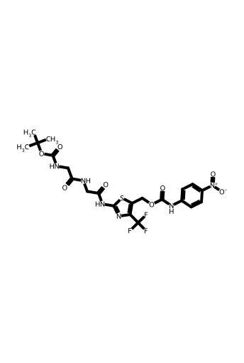 CC(C)(C)OC(=O)NCC(=O)NCC(=O)Nc1nc(C(F)(F)F)c(COC(=O)Nc2ccc([N+](=O)[O-])cc2)s1